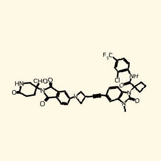 Cn1c(=O)n(C2(C(=O)Nc3ccc(C(F)(F)F)cc3Cl)CCC2)c2ccc(C#CC3CN(c4ccc5c(c4)C(=O)N(C4(C=O)CCC(=O)NC4)C5=O)C3)cc21